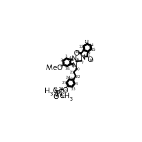 COc1ccc2nc(CN3C(=O)c4ccccc4C3=O)n(CCCc3ccc(OCP(C)(C)=O)cc3)c2c1